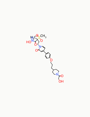 C[C@@](CCn1ccc(-c2ccc(OCCCC3CCN(C(=O)CO)CC3)cc2)cc1=O)(C(=O)NO)S(C)(=O)=O